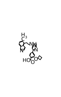 Cc1ccc2cnccc2c1CCNc1cc(-c2ccc(C(=O)O)c(OC3CCC3)c2)ncn1